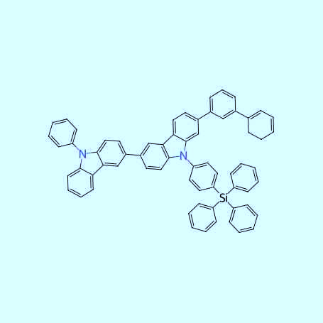 C1=CCCC(c2cccc(-c3ccc4c5cc(-c6ccc7c(c6)c6ccccc6n7-c6ccccc6)ccc5n(-c5ccc([Si](c6ccccc6)(c6ccccc6)c6ccccc6)cc5)c4c3)c2)=C1